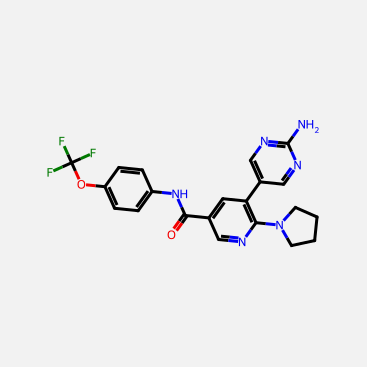 Nc1ncc(-c2cc(C(=O)Nc3ccc(OC(F)(F)F)cc3)cnc2N2CCCC2)cn1